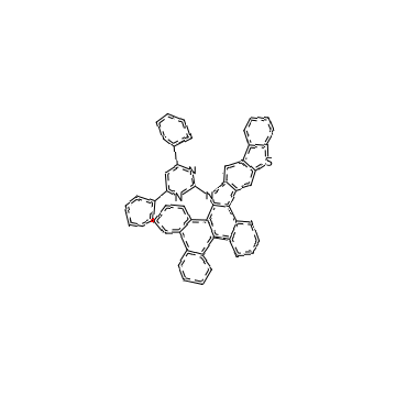 c1ccc(-c2cc(-c3ccccc3)nc(-n3c4cc5c(cc4c4c6ccccc6c6c7ccccc7c7ccccc7c6c43)sc3ccccc35)n2)cc1